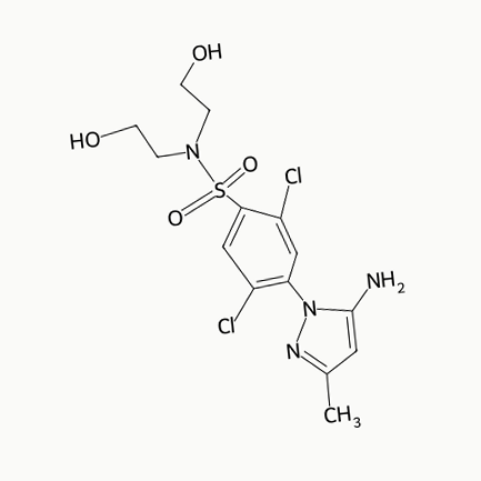 Cc1cc(N)n(-c2cc(Cl)c(S(=O)(=O)N(CCO)CCO)cc2Cl)n1